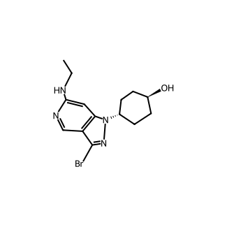 CCNc1cc2c(cn1)c(Br)nn2[C@H]1CC[C@H](O)CC1